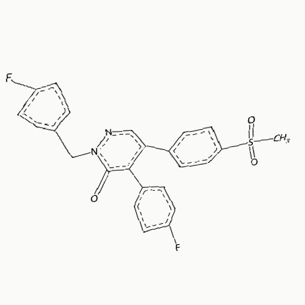 CS(=O)(=O)c1ccc(-c2cnn(Cc3ccc(F)cc3)c(=O)c2-c2ccc(F)cc2)cc1